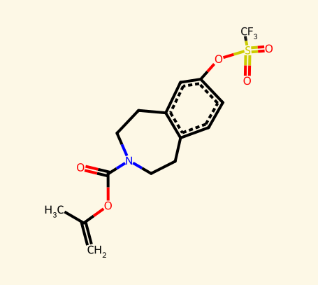 C=C(C)OC(=O)N1CCc2ccc(OS(=O)(=O)C(F)(F)F)cc2CC1